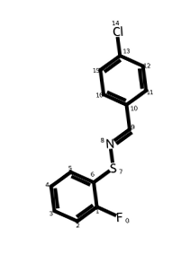 Fc1ccccc1S/N=C/c1ccc(Cl)cc1